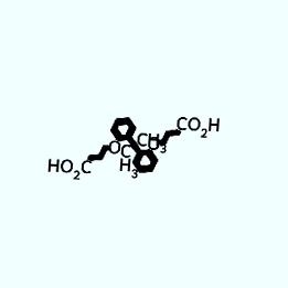 CC(C)(c1ccccc1OCCCC(=O)O)c1ccccc1OCCCC(=O)O